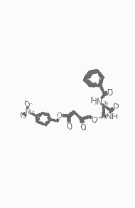 O=C(CO[C@H]1NC(=O)[C@@H]1NC(=O)c1ccccc1)CC(=O)OCc1ccc([N+](=O)[O-])cc1